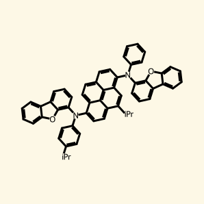 CC(C)c1ccc(N(c2ccc3c(C(C)C)cc4c(N(c5ccccc5)c5cccc6c5oc5ccccc56)ccc5ccc2c3c54)c2cccc3c2oc2ccccc23)cc1